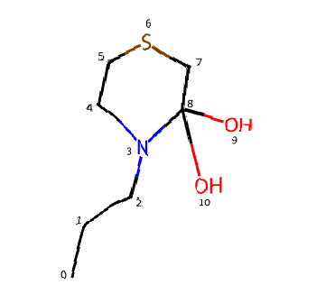 CC[CH]N1CCSCC1(O)O